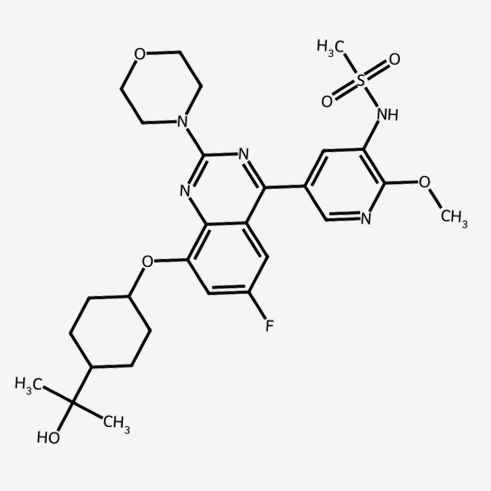 COc1ncc(-c2nc(N3CCOCC3)nc3c(OC4CCC(C(C)(C)O)CC4)cc(F)cc23)cc1NS(C)(=O)=O